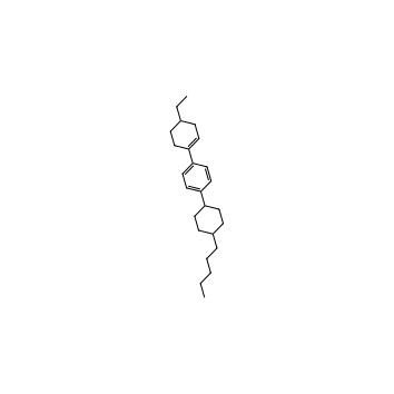 CCCCCC1CCC(c2ccc(C3=CCC(CC)CC3)cc2)CC1